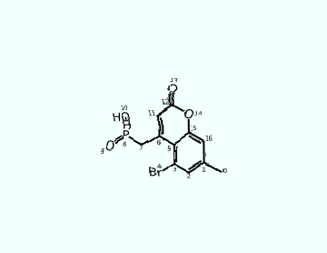 Cc1cc(Br)c2c(C[PH](=O)O)cc(=O)oc2c1